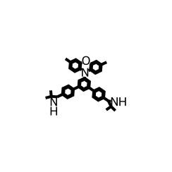 Cc1ccc2c(c1)Oc1cc(C)ccc1N2c1cc(-c2ccc(C3NC3(C)C)cc2)cc(-c2ccc(C3NC3(C)C)cc2)c1